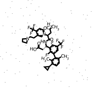 Cc1ccc(C2CC2)c(C)c1-c1cc(C(F)(F)F)c(F)c([C@H](CC(=O)O)NC(=O)C(CC(C)C)n2cc(CCN3CCC3)c(C(F)(F)F)cc2=O)c1F